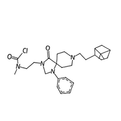 CN(CCN1CN(c2ccccc2)C2(CCN(CCC3CCC4CC3C4(C)C)CC2)C1=O)C(=O)Cl